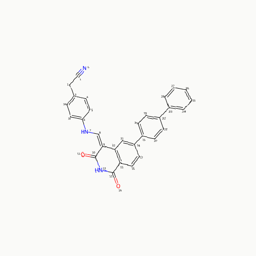 N#CCc1ccc(N/C=C2\C(=O)NC(=O)c3ccc(-c4ccc(-c5ccccc5)cc4)cc32)cc1